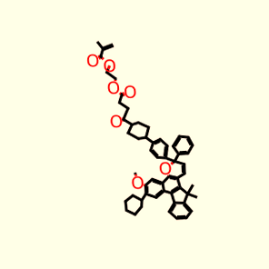 C=C(C)C(=O)OCCOC(=O)CCC(=O)C1CCC(c2ccc(C3(c4ccccc4)C=Cc4c5c(c6cc(C7CCCCC7)c(OC)cc6c4O3)-c3ccccc3C5(C)C)cc2)CC1